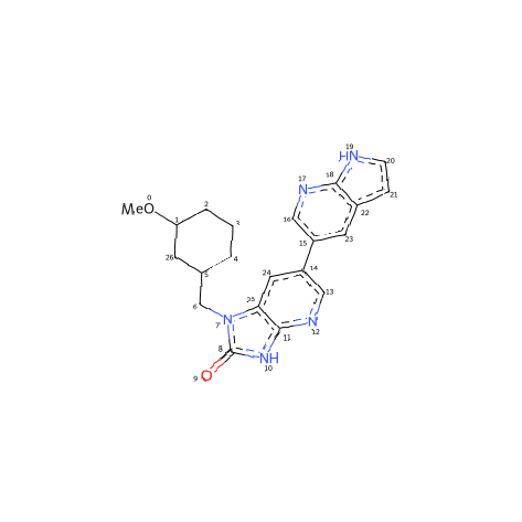 COC1CCCC(Cn2c(=O)[nH]c3ncc(-c4cnc5[nH]ccc5c4)cc32)C1